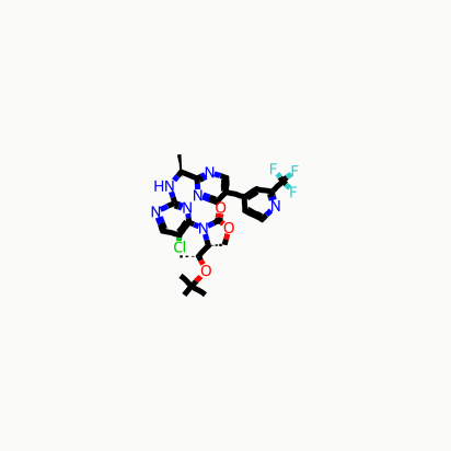 C[C@H](Nc1ncc(Cl)c(N2C(=O)OC[C@@H]2[C@@H](C)OC(C)(C)C)n1)c1ncc(-c2ccnc(C(F)(F)F)c2)cn1